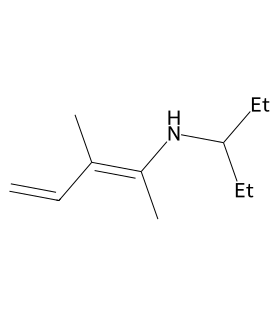 C=C/C(C)=C(\C)NC(CC)CC